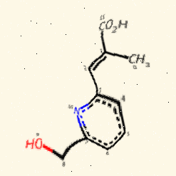 C/C(=C\c1cccc(CO)n1)C(=O)O